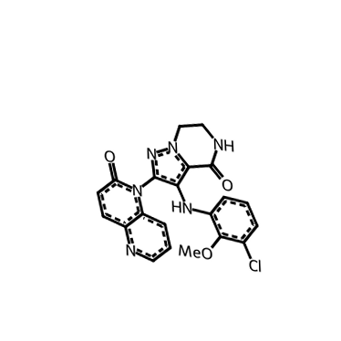 COc1c(Cl)cccc1Nc1c(-n2c(=O)ccc3ncccc32)nn2c1C(=O)NCC2